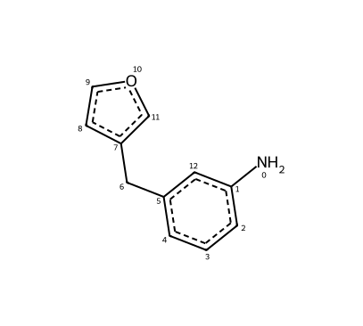 Nc1cccc(Cc2ccoc2)c1